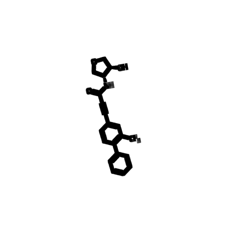 O=C(C#Cc1ccc(-c2ccccc2)c(C(F)(F)F)c1)N[C@@H]1COC[C@H]1O